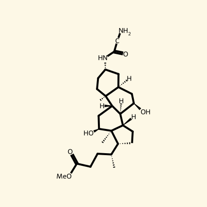 COC(=O)CC[C@@H](C)[C@H]1CC[C@H]2[C@@H]3[C@H](O)C[C@@H]4C[C@@H](NC(=O)CN)CC[C@]4(C)[C@H]3C[C@H](O)[C@]12C